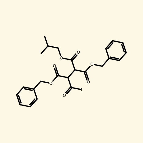 CC(C)COC(=O)C(C(=O)OCc1ccccc1)C(C(=O)I)C(=O)OCc1ccccc1